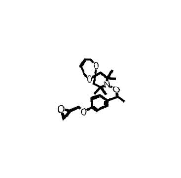 CC(ON1C(C)(C)CC2(CC1(C)C)OCC=CCO2)c1ccc(OCC2CO2)cc1